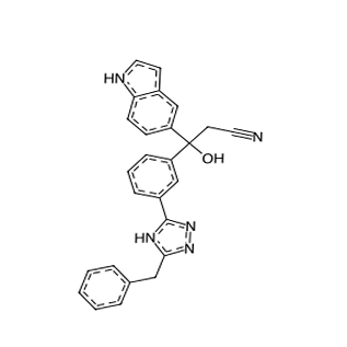 N#CCC(O)(c1cccc(-c2nnc(Cc3ccccc3)[nH]2)c1)c1ccc2[nH]ccc2c1